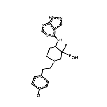 Cl.FC1(F)CN(CCc2ccc(Cl)cc2)CCC1Nc1ncnc2[nH]ncc12